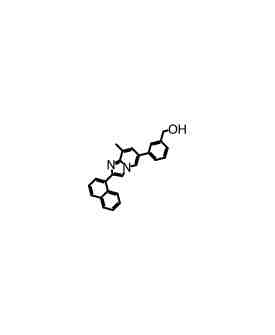 Cc1cc(-c2cccc(CO)c2)cn2cc(-c3cccc4ccccc34)nc12